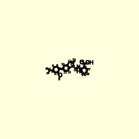 COc1cc(C(C)C)ccc1-c1ccc2c(c1)CN(C)[C@H]2CNc1cnccc1C(=O)O